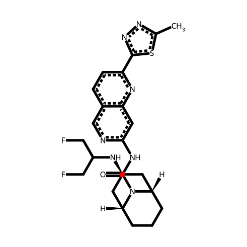 Cc1nnc(-c2ccc3cnc(NC(=O)N4[C@@H]5CCC[C@H]4C[C@H](NC(CF)CF)C5)cc3n2)s1